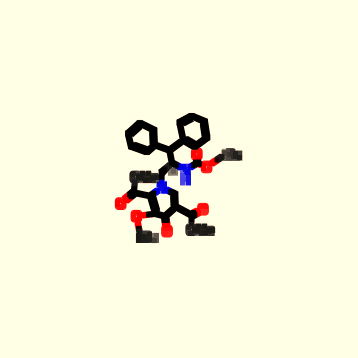 CCCCOc1c(C(=O)OC)n(C[C@H](NC(=O)OC(C)(C)C)C(c2ccccc2)c2ccccc2)cc(C(=O)OC)c1=O